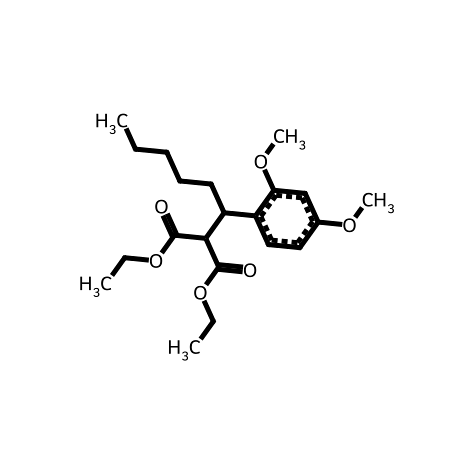 CCCCCC(c1ccc(OC)cc1OC)C(C(=O)OCC)C(=O)OCC